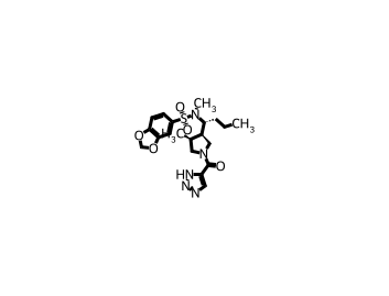 CCC[C@H]([C@H]1CN(C(=O)c2cnn[nH]2)C[C@H]1C)N(C)S(=O)(=O)c1ccc2c(c1)OCO2